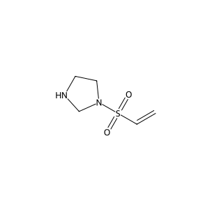 C=CS(=O)(=O)N1CCNC1